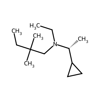 CCN(CC(C)(C)CC)[C@H](C)C1CC1